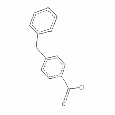 O=C(Cl)c1ccc(Cc2ccccc2)cc1